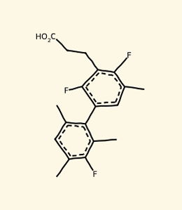 Cc1cc(C)c(-c2cc(C)c(F)c(CCC(=O)O)c2F)c(C)c1F